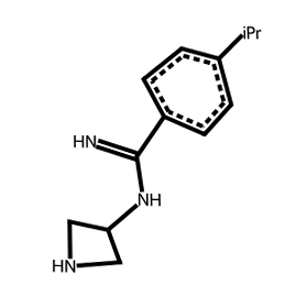 CC(C)c1ccc(C(=N)NC2CNC2)cc1